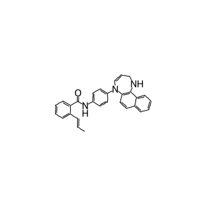 CC=Cc1ccccc1C(=O)Nc1ccc(N2C=CCNc3c2ccc2ccccc32)cc1